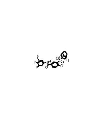 O=C(Nc1cc(F)c(F)c(F)c1)c1ccc(Cl)c(S(=O)(=O)C2CC3CC[C@@H](C2)C3O)c1